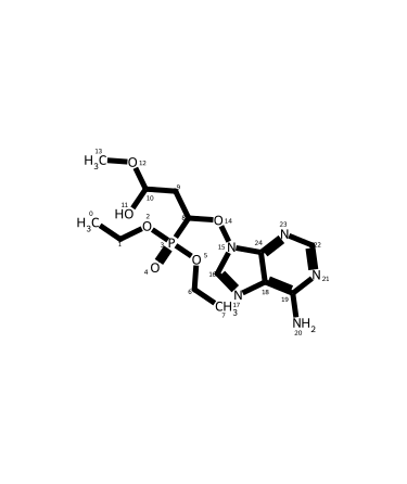 CCOP(=O)(OCC)C(CC(O)OC)On1cnc2c(N)ncnc21